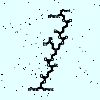 CCCCCC(CCCCC)COC(=O)CCCC(CC)OC(=O)OCCN(CCOC(=O)OC(CC)CCCC(=O)OCC(CCCCC)CCCCC)CCN(CC)CC